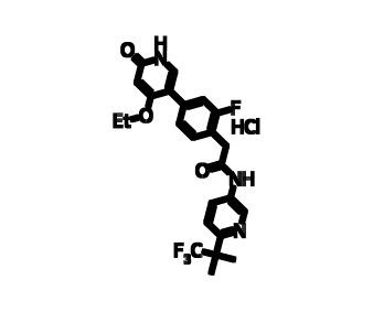 CCOc1cc(=O)[nH]cc1-c1ccc(CC(=O)Nc2ccc(C(C)(C)C(F)(F)F)nc2)c(F)c1.Cl